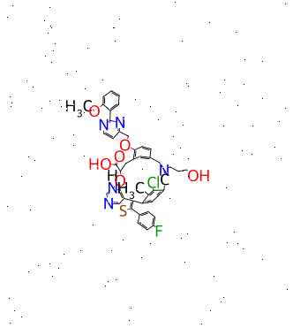 COc1ccccc1-c1nccc(COc2ccc3cc2C[C@H](C(=O)O)Oc2ncnc4sc(-c5ccc(F)cc5)c(c24)-c2ccc(c(Cl)c2C)CN(CCCO)C3)n1